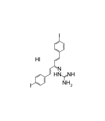 I.N=C(N)NN=C(C=Cc1ccc(I)cc1)C=Cc1ccc(I)cc1